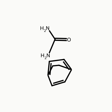 NC(N)=O.c1cc2ccc1CC2